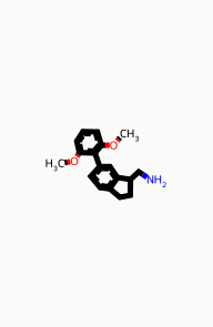 COc1cccc(OC)c1-c1ccc2c(c1)C(CN)CC2